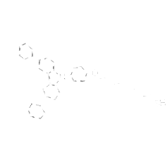 SCCCCCCCCOc1ccc(-n2c3ccc(-c4ccccc4)cc3c3cc(-c4ccccc4)ccc32)cc1